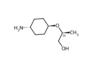 C[C@@H](CO)O[C@H]1CC[C@H](N)CC1